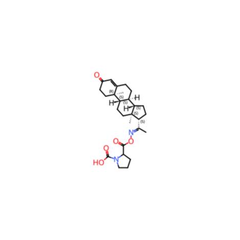 CC(=NOC(=O)C1CCCN1C(=O)O)[C@H]1CC[C@H]2[C@@H]3CCC4=CC(=O)CC[C@]4(C)[C@H]3CC[C@]12C